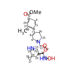 COC(=O)c1ccc(C2=CCN(C(=O)[C@H]3NCC4(CC4)C[C@@H]3C(=O)NO)CC2)c(C)c1